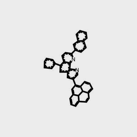 C1=CC2=CC(c3cnc4c(c3)cc(-c3ccccc3)c3ccc(-c5ccc6ccccc6c5)nc34)=C3C=CC=C4C=CC(=C1)C2C43